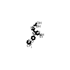 CCNc1cc2c(cn1)c(-c1cnn(C[C@H](O)CO)c1)nn2[C@H]1CC[C@@H](Oc2nccc(C(F)(F)F)c2F)CC1